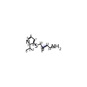 CC(C)c1ncccc1SC/C(F)=C/CN